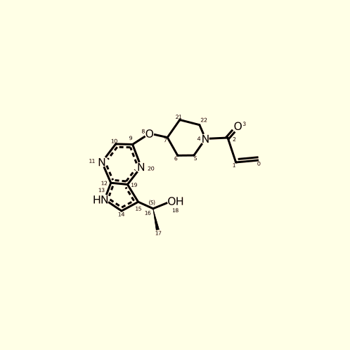 C=CC(=O)N1CCC(Oc2cnc3[nH]cc([C@H](C)O)c3n2)CC1